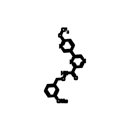 COc1cccc(CONC(=O)c2cncc(-c3ccc(OC(F)(F)F)nc3)n2)c1